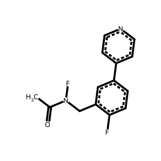 CC(=O)N(F)Cc1cc(-c2ccncc2)ccc1F